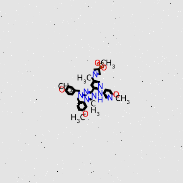 COc1ccc(CN(Cc2ccc(OC)cc2)c2nc(C)nc(-c3cc(C(C)N4CC(S(C)(=O)=O)C4)cnc3Nc3ccc(OC)nc3)n2)cc1